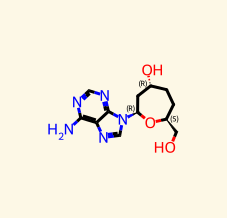 Nc1ncnc2c1ncn2[C@H]1C[C@H](O)CC[C@@H](CO)O1